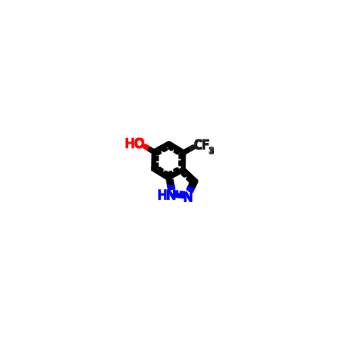 Oc1cc(C(F)(F)F)c2cn[nH]c2c1